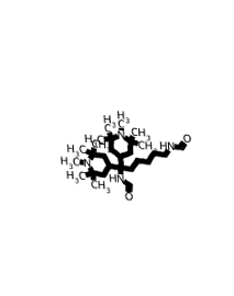 CN1C(C)(C)CC(C(CCCCCNC=O)(NC=O)C2CC(C)(C)N(C)C(C)(C)C2)CC1(C)C